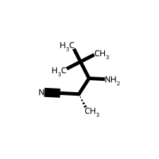 C[C@H](C#N)C(N)C(C)(C)C